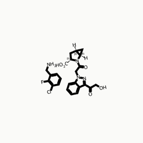 NCc1cccc(Cl)c1F.O=C(CO)c1nn(CC(=O)N2[C@@H]3C[C@@H]3C[C@H]2C(=O)O)c2ccccc12